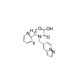 CC(c1ncccc1F)N(Cc1ccn2nccc2c1)C(=O)C(=O)O